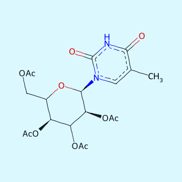 CC(=O)OCC1O[C@@H](n2cc(C)c(=O)[nH]c2=O)[C@@H](OC(C)=O)C(OC(C)=O)[C@H]1OC(C)=O